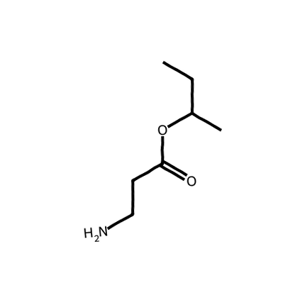 CCC(C)OC(=O)CCN